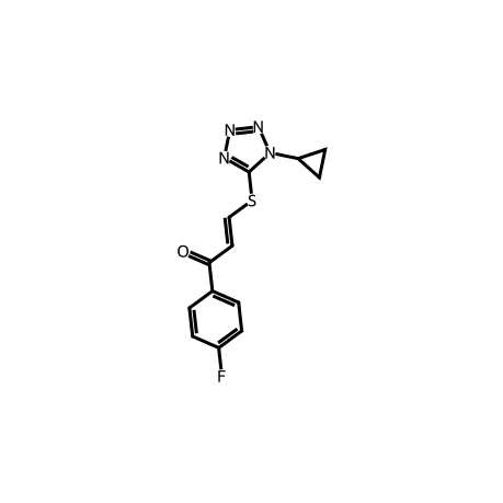 O=C(/C=C/Sc1nnnn1C1CC1)c1ccc(F)cc1